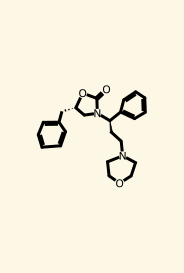 O=C1O[C@@H](Cc2ccccc2)CN1[C@H](CCN1CCOCC1)c1ccccc1